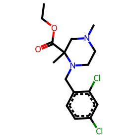 CCOC(=O)C1(C)CN(C)CCN1Cc1ccc(Cl)cc1Cl